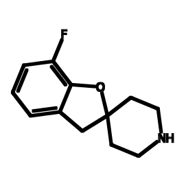 Fc1cccc2c1OC1(CCNCC1)C2